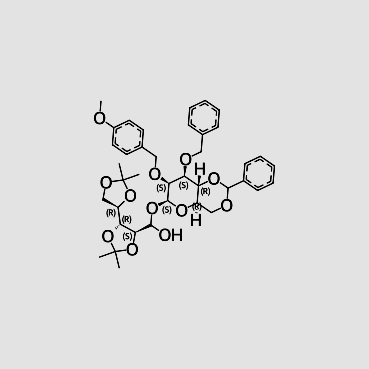 COc1ccc(CO[C@@H]2[C@H](OC(O)[C@H]3OC(C)(C)O[C@@H]3[C@H]3COC(C)(C)O3)O[C@@H]3COC(c4ccccc4)O[C@H]3[C@@H]2OCc2ccccc2)cc1